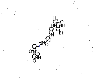 CCc1cc2c(c(-c3cccc4cc(-c5ccc(C(=O)NC/C=C/c6cccc7c6CN(C6CCC(=O)NC6=O)C7=O)nc5)ncc34)c1)N[C@H](C)CC(=O)N2